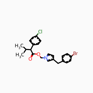 CC(C)C(C(=O)OCn1ccc(Cc2ccc(Br)cc2)c1)c1ccc(Cl)cc1